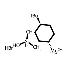 Br.CC(C)(C)[C@H]1CC[C@H]([Mg+2])CC1.C[SiH](C)O